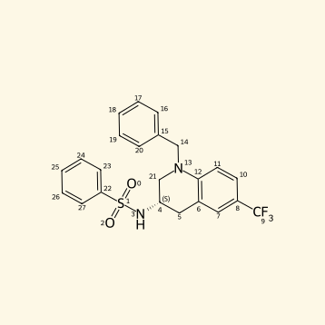 O=S(=O)(N[C@H]1Cc2cc(C(F)(F)F)ccc2N(Cc2ccccc2)C1)c1ccccc1